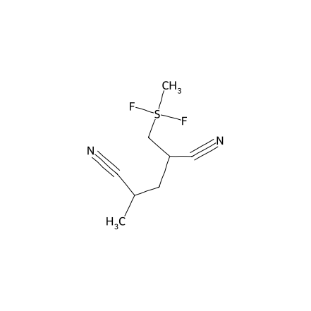 CC(C#N)CC(C#N)CS(C)(F)F